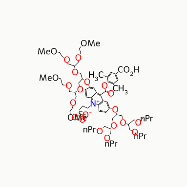 CCCOCC(COCCC)OCC(COC(COCCC)COCCC)Oc1ccc2c(c1)c(C(=O)Oc1c(C)cc(C(=O)O)cc1C)c1cc(OC(COC(COCCOC)COCCOC)COC(COCCOC)COCCOC)ccc1[n+]2CCCS(=O)(=O)[O-]